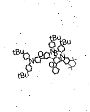 CC(C)(C)c1ccc(N2B3c4cc(C(C)(C)C)ccc4-n4c5cc6c(cc5c5c7c(oc8ccccc87)c(c3c54)-c3cc4c(cc32)oc2cc(N(c3ccc(C(C)(C)C)cc3)c3ccc(C(C)(C)C)cc3)ccc24)C(C)(C)CCC6(C)C)cc1